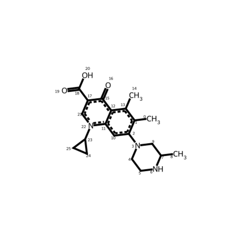 Cc1c(N2CCNC(C)C2)cc2c(c1C)c(=O)c(C(=O)O)cn2C1CC1